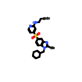 CC(=O)NCCNc1cc(S(=O)(=O)c2ccc3c(c2)nc(C(C)(C)C)n3CC2CCCCC2)ccn1